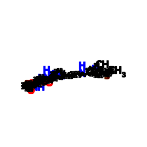 CCn1c2ccc(CNCCCCCCCN3CCCn4nc(C(=O)Nc5nc6ccc(NS(=O)(=O)c7cccs7)cc6s5)cc4C3)cc2c2ccc(-c3cc(C)cs3)cc21